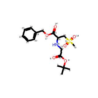 CC(C)(C)OC(=O)CNC(CS(C)(=O)=O)C(=O)OCc1ccccc1